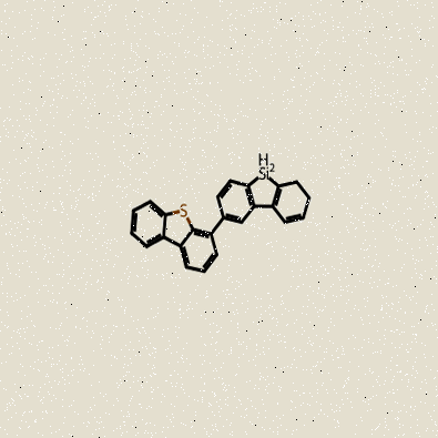 C1=CC2=C(CC1)[SiH2]c1ccc(-c3cccc4c3sc3ccccc34)cc12